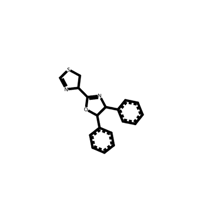 C1=NC(C2=NC(c3ccccc3)C(c3ccccc3)O2)CS1